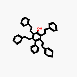 Oc1c(C=Cc2ccccc2)c(C=Cc2ccccc2)c(-c2ccccc2)c(CCc2ccccc2)c1CCc1ccccc1